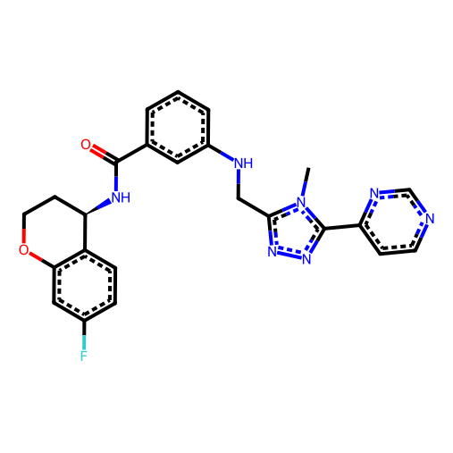 Cn1c(CNc2cccc(C(=O)N[C@@H]3CCOc4cc(F)ccc43)c2)nnc1-c1ccncn1